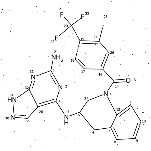 Nc1nc(NC2Cc3ccccc3N(C(=O)c3ccc(C(F)(F)F)c(F)c3)C2)c2cn[nH]c2n1